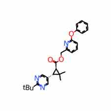 CC(C)(C)c1ncc([C@@H]2[C@@H](C(=O)OCc3cccc(Oc4ccccc4)n3)C2(C)C)cn1